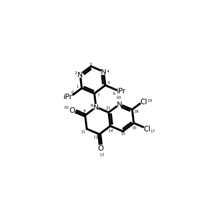 CC(C)c1ncnc(C(C)C)c1N1C(=O)CC(=O)c2cc(Cl)c(Cl)nc21